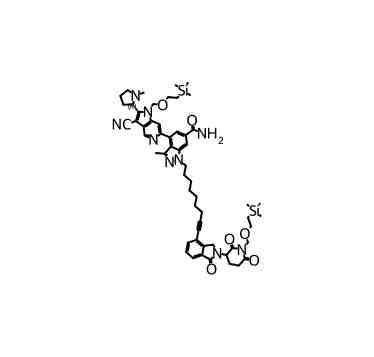 Cc1nn(CCCCCCCC#Cc2cccc3c2CN(C2CCC(=O)N(COCC[Si](C)(C)C)C2=O)C3=O)c2cc(C(N)=O)cc(-c3cc4c(cn3)c(C#N)c([C@H]3CCCN3C)n4COCC[Si](C)(C)C)c12